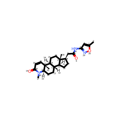 Cc1cc(NC(=O)C[C@H]2CC[C@H]3[C@@H]4CC[C@H]5N(C)C(=O)C=C[C@]5(C)[C@H]4CC[C@]23C)no1